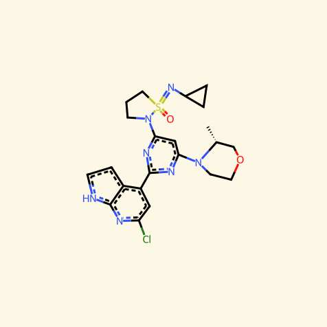 C[C@@H]1COCCN1c1cc(N2CCCS2(=O)=NC2CC2)nc(-c2cc(Cl)nc3[nH]ccc23)n1